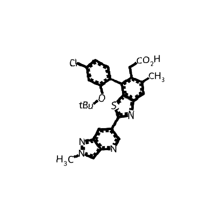 Cc1cc2nc(-c3cnc4cn(C)nc4c3)sc2c(-c2ccc(Cl)cc2OC(C)(C)C)c1CC(=O)O